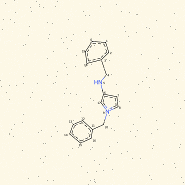 c1ccc(CNc2ccn(Cc3ccccc3)c2)cc1